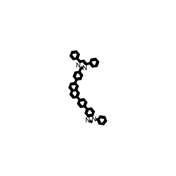 c1ccc(-c2cc(-c3ccccc3)nc(-c3ccc(-c4ccc5ccc(-c6ccc(-c7ccc8c(c7)ncn8-c7ccccc7)cc6)cc5c4)cc3)n2)cc1